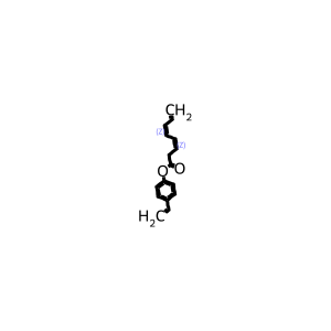 C=C/C=C\C=C/CC(=O)Oc1ccc(C=C)cc1